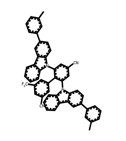 Cc1cccc(-c2ccc3c(c2)c2ccccc2n3-c2cc(C#N)cc(-n3c4ccccc4c4cc(-c5cccc(C)c5)ccc43)c2-c2cc(C#N)cc(C(F)(F)F)c2)c1